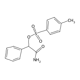 Cc1ccc(S(=O)(=O)OC(C(N)=O)c2ccccc2)cc1